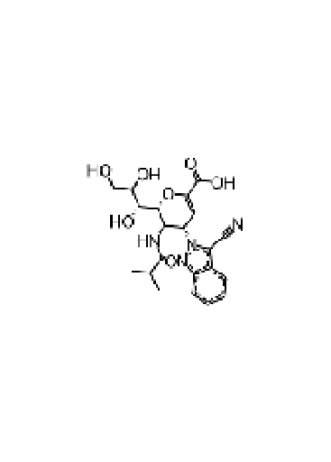 CC(C)C(=O)N[C@H]1[C@H]([C@H](O)[C@H](O)CO)OC(C(=O)O)=C[C@@H]1n1nc2ccccc2c1C#N